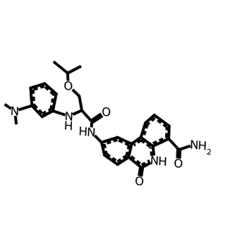 CC(C)OCC(Nc1cccc(N(C)C)c1)C(=O)Nc1ccc2c(=O)[nH]c3c(C(N)=O)cccc3c2c1